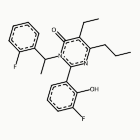 CCCc1nc(-c2cccc(F)c2O)n(C(C)c2ccccc2F)c(=O)c1CC